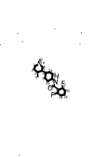 Cc1cc[n+](C)cc1-c1ccc(NC(=O)c2c(F)cccc2F)cc1